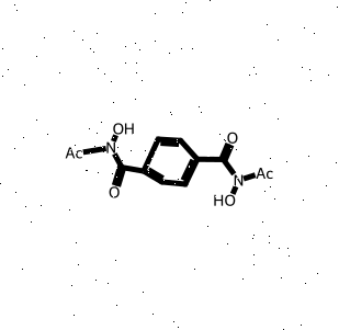 CC(=O)N(O)C(=O)c1ccc(C(=O)N(O)C(C)=O)cc1